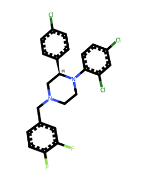 Fc1ccc(CN2CCN(c3ccc(Cl)cc3Cl)[C@H](c3ccc(Cl)cc3)C2)cc1F